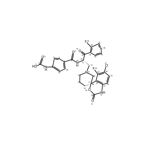 O=C(O)Nc1ccc(C(=O)N[C@@H](CN2CCC[C@@]3(C2)OC(=O)Nc2ccc(Cl)c(F)c23)C(=O)c2ccncc2F)cc1